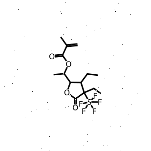 C=C(C)C(=O)OC(C)C1OC(=O)C(CC)(S(F)(F)(F)(F)F)C1CC